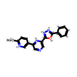 COc1ccc(-c2cncc(-c3nnc(-c4ccccc4)o3)n2)cn1